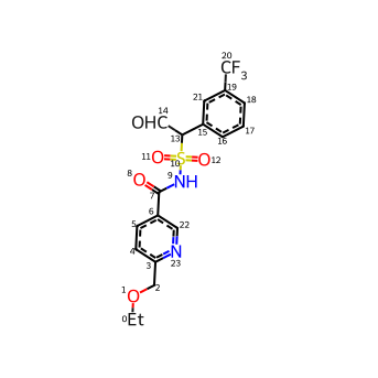 CCOCc1ccc(C(=O)NS(=O)(=O)C(C=O)c2cccc(C(F)(F)F)c2)cn1